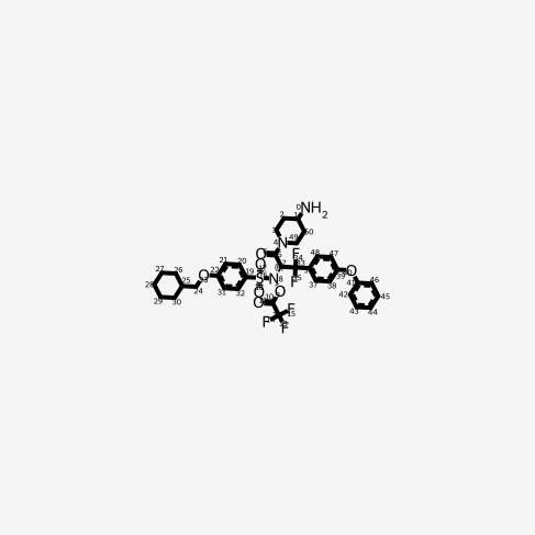 NC1CCN(C(=O)[C@@H](N(OC(=O)C(F)(F)F)S(=O)(=O)c2ccc(OCC3CCCCC3)cc2)C(F)(F)c2ccc(Oc3ccccc3)cc2)CC1